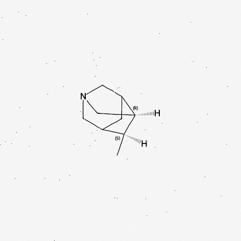 C[C@H]1C2CC3CN(C2)C[C@@H]31